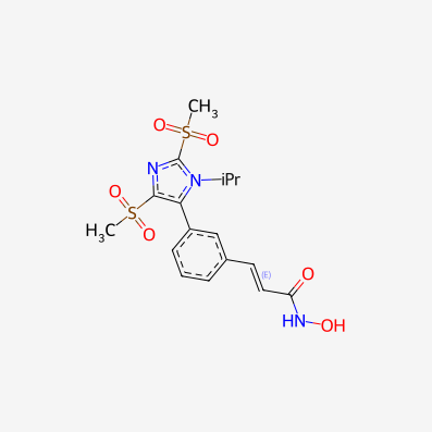 CC(C)n1c(S(C)(=O)=O)nc(S(C)(=O)=O)c1-c1cccc(/C=C/C(=O)NO)c1